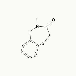 CN1Cc2ccccc2SCC1=O